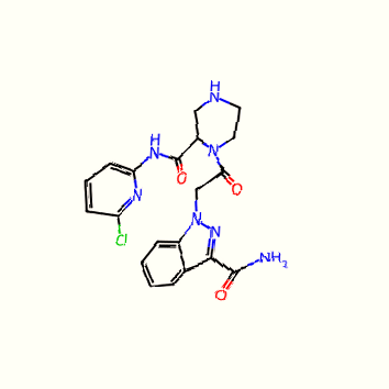 NC(=O)c1nn(CC(=O)N2CCNCC2C(=O)Nc2cccc(Cl)n2)c2ccccc12